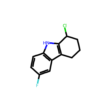 Fc1ccc2[nH]c3c(c2c1)CCCC3Cl